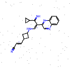 N#C/C=C/C1CC(N/C=C(\C(=N)C2CC2)c2cnc3ccccc3n2)C1